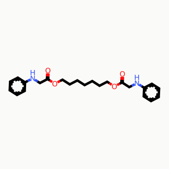 O=C(CNc1ccccc1)OCCCCCCCOC(=O)CNc1ccccc1